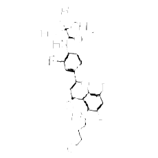 CC(C)(C)C(=O)Nc1ccc(-c2cc(=O)c3c(NCCCCl)c(F)cc(F)c3o2)cc1F